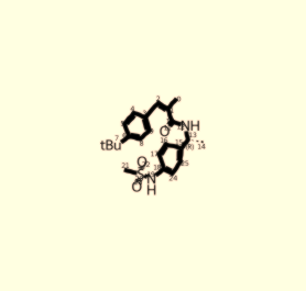 CC(=Cc1ccc(C(C)(C)C)cc1)C(=O)N[C@H](C)c1ccc(NS(C)(=O)=O)cc1